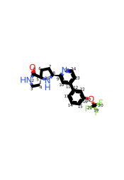 O=C1NCC[C@@]12CC[C@@H](c1cc(-c3cccc(OC(F)(F)F)c3)ccn1)N2